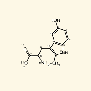 Cc1[nH]c2ccc(O)cc2c1CC(N)C(=O)O